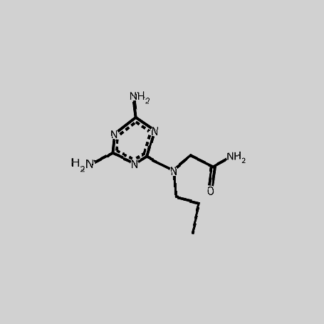 CCCN(CC(N)=O)c1nc(N)nc(N)n1